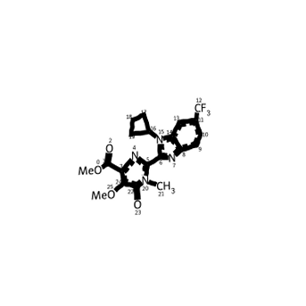 COC(=O)c1nc(-c2nc3ccc(C(F)(F)F)cc3n2C2CCC2)n(C)c(=O)c1OC